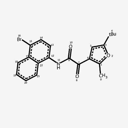 Cc1oc(C(C)(C)C)cc1C(=O)C(=O)Nc1ccc(Br)c2ccccc12